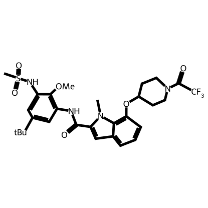 COc1c(NC(=O)c2cc3cccc(OC4CCN(C(=O)C(F)(F)F)CC4)c3n2C)cc(C(C)(C)C)cc1NS(C)(=O)=O